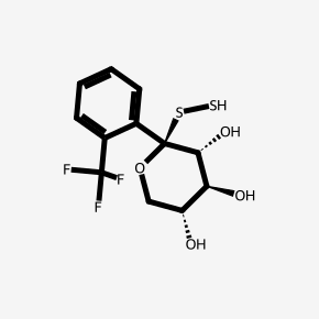 O[C@H]1[C@H](O)CO[C@](SS)(c2ccccc2C(F)(F)F)[C@@H]1O